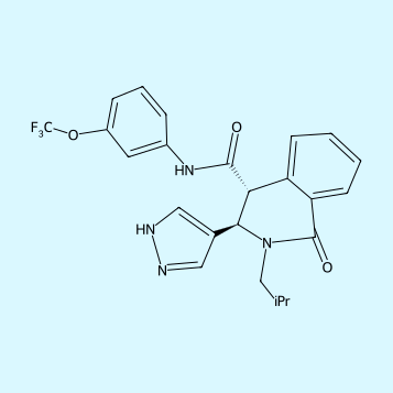 CC(C)CN1C(=O)c2ccccc2[C@@H](C(=O)Nc2cccc(OC(F)(F)F)c2)[C@@H]1c1cn[nH]c1